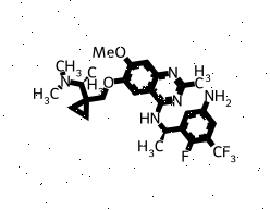 COc1cc2nc(C)nc(N[C@H](C)c3cc(N)cc(C(F)(F)F)c3F)c2cc1OCC1([C@@H](C)N(C)C)CC1